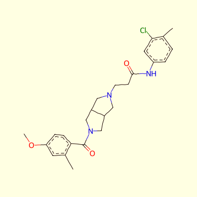 COc1ccc(C(=O)N2CC3CN(CCC(=O)Nc4ccc(C)c(Cl)c4)CC3C2)c(C)c1